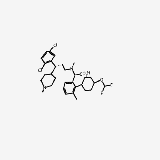 Cc1cccc([C@H](C(=O)O)N(C)CC[C@@H](c2cc(Cl)ccc2Cl)C2CCN(C)CC2)c1C1CCC(OC(F)F)CC1